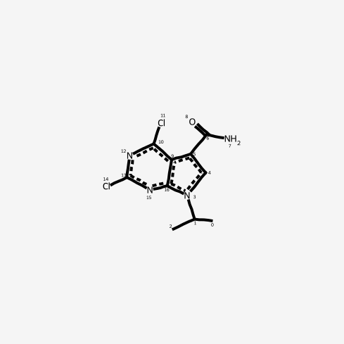 CC(C)n1cc(C(N)=O)c2c(Cl)nc(Cl)nc21